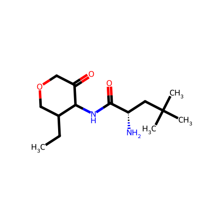 CCC1COCC(=O)C1NC(=O)[C@@H](N)CC(C)(C)C